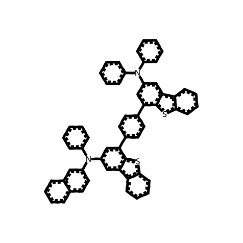 c1ccc(N(c2ccccc2)c2cc(-c3ccc(-c4cc(N(c5ccccc5)c5ccc6ccccc6c5)cc5c4sc4ccccc45)cc3)c3sc4ccccc4c3c2)cc1